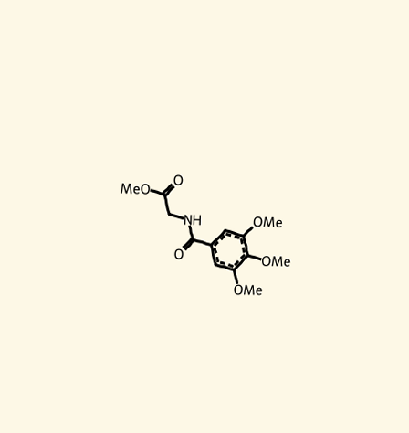 COC(=O)CNC(=O)c1cc(OC)c(OC)c(OC)c1